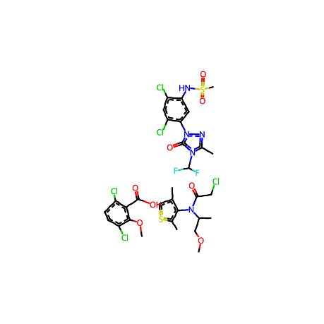 COCC(C)N(C(=O)CCl)c1c(C)csc1C.COc1c(Cl)ccc(Cl)c1C(=O)O.Cc1nn(-c2cc(NS(C)(=O)=O)c(Cl)cc2Cl)c(=O)n1C(F)F